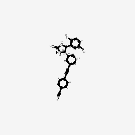 N#Cc1ccc(C#Cc2cncc([C@H]3NC(=O)OC3c3cc(F)ccc3F)c2)cc1